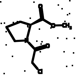 COC(=O)[C@@H]1CCCN1C(=O)CCl